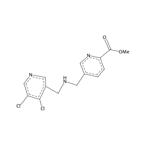 COC(=O)c1ccc(CNCc2cncc(Cl)c2Cl)cn1